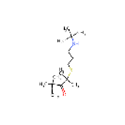 CC(C)(C)NCCCSC(C)(C)C(=O)C(C)(C)C